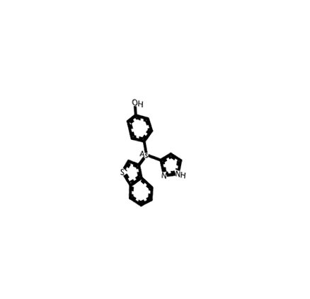 Oc1ccc([As](c2cc[nH]n2)c2csc3ccccc23)cc1